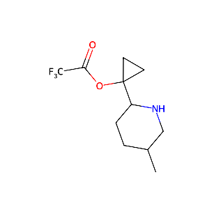 CC1CCC(C2(OC(=O)C(F)(F)F)CC2)NC1